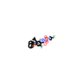 C[C@]12CC3CC(C1)[C@@H](Oc1cc(F)c(C(=O)NS(=O)(=O)N4CC(F)C4)cc1C1CC1)C(C3)C2